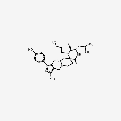 CCCCN1C(=O)[C@H](CC(C)C)NC(=O)C12CCN(Cc1c(C)nn(-c3ccc(O)cc3)c1C)CC2